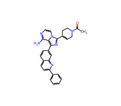 CC(=O)N1CC=C(c2nc(-c3ccc4ccc(-c5ccccc5)nc4c3)c3c(N)nccn23)CC1